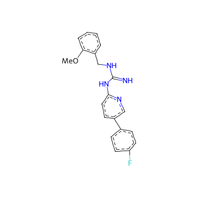 COc1ccccc1CNC(=N)Nc1ccc(-c2ccc(F)cc2)cn1